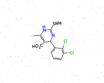 CSC1=NC(c2cccc(Cl)c2Cl)C(C(=O)O)=C(C)N1